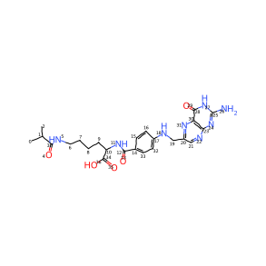 CC(C)C(=O)NCCCCC(NC(=O)c1ccc(NCc2cnc3nc(N)[nH]c(=O)c3n2)cc1)C(=O)O